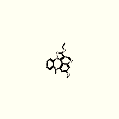 CCOC(=O)c1cnc2cc(OC)cc3c2c1Nc1ccccc1N3